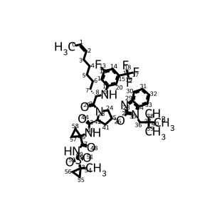 C/C=C\CCCCC[C@H](Nc1cc(F)cc(C(F)(F)F)c1)C(=O)N1C[C@H](Oc2nc3ccccc3n2CC(C)(C)C)C[C@H]1C(=O)NC1(C(=O)NS(=O)(=O)C2(C)CC2)CC1